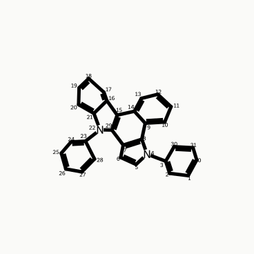 c1ccc(-n2ccc3c2c2ccccc2c2c4ccccc4n(-c4ccccc4)c32)cc1